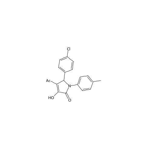 CC(=O)C1=C(O)C(=O)N(c2ccc(C)cc2)C1c1ccc(Cl)cc1